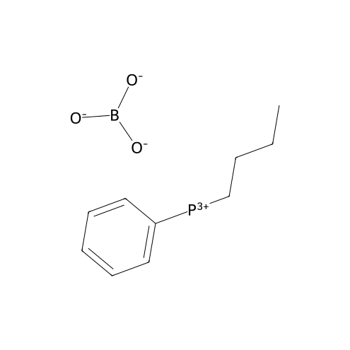 CCCC[P+3]c1ccccc1.[O-]B([O-])[O-]